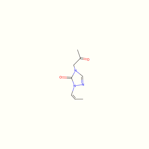 C/C=C\n1ncn(CC(C)=O)c1=O